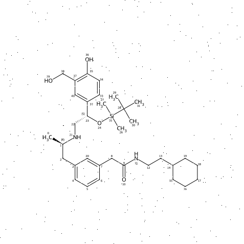 C[C@H](Cc1cccc(CC(=O)NCCC2CCCCC2)c1)NC[C@@H](O[Si](C)(C)C(C)(C)C)c1ccc(O)c(CO)c1